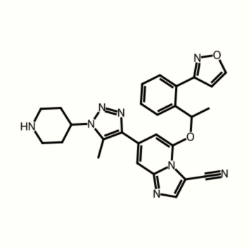 Cc1c(-c2cc(OC(C)c3ccccc3-c3ccon3)n3c(C#N)cnc3c2)nnn1C1CCNCC1